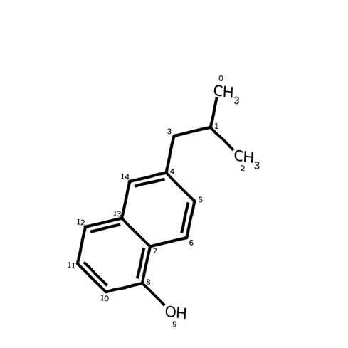 CC(C)Cc1ccc2c(O)cccc2c1